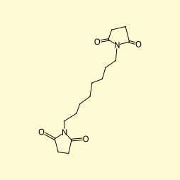 O=C1CCC(=O)N1CCCCCCCCN1C(=O)CCC1=O